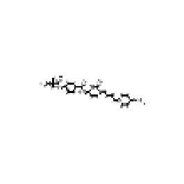 CC(C)(N)C(=O)Nc1ccc(C(=O)Nc2ccn(CCCCN3CCC(N)CC3)c(=O)n2)cc1